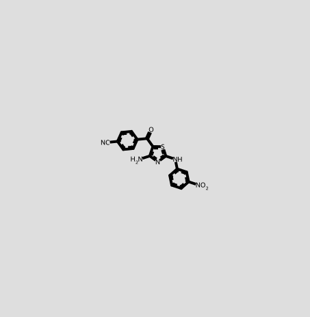 N#Cc1ccc(C(=O)c2sc(Nc3cccc([N+](=O)[O-])c3)nc2N)cc1